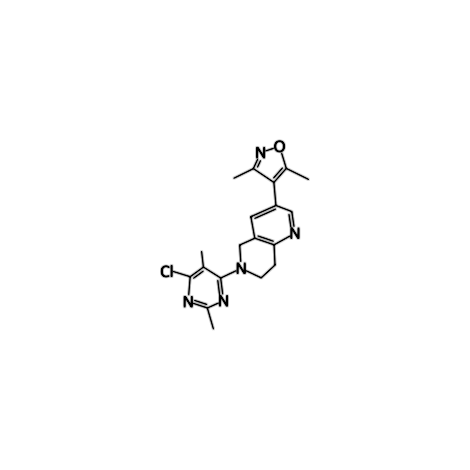 Cc1nc(Cl)c(C)c(N2CCc3ncc(-c4c(C)noc4C)cc3C2)n1